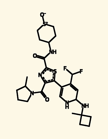 CC1CCCN1C(=O)c1nc(C(=O)NC2CC[S+]([O-])CC2)sc1C1=CNC(NC2(C)CCC2)C=C1C(F)F